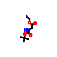 CC(C)(C)OC(=O)NCC(=O)OCI